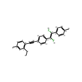 CCc1cc(C)ccc1C#Cc1ccc(/C(F)=C(\F)c2ccc(C)cc2)cc1